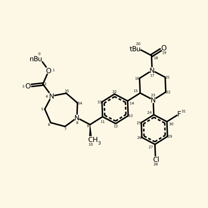 CCCCOC(=O)N1CCCN([C@H](C)c2ccc(C3CN(C(=O)C(C)(C)C)CCN3c3ccc(Cl)cc3F)cc2)CC1